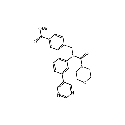 COC(=O)c1ccc(CN(C(=O)N2CCOCC2)c2cccc(-c3cncnc3)c2)cc1